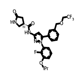 CC(C)Oc1cccc(-n2nc(NC(=O)[C@@H]3CNC(=O)C3)cc2-c2cccc(COCC(F)(F)F)c2)c1F